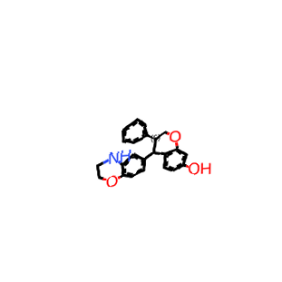 Oc1ccc2c(c1)OC[C@H](c1ccccc1)C2c1ccc2c(c1)NCCO2